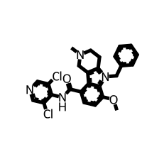 COc1ccc(C(=O)Nc2c(Cl)cncc2Cl)c2c3c(n(Cc4ccccc4)c12)CCN(C)C3